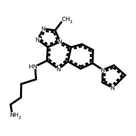 Cc1nnc2c(NCCCCN)nc3cc(-n4ccnc4)ccc3n12